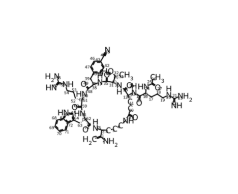 C=C(N)C1CCCNC(=O)CC[C@H](NC(=O)[C@H](CCCNC(=N)N)NC(C)=O)C(=O)N[C@@H]([C@@H](C)O)C(=O)N[C@H](Cc2ccc(C#N)cc2)C(=O)N[C@@H](CCCNC(=N)N)C(=O)N[C@@H](Cc2c[nH]c3ccccc23)C(=O)N1